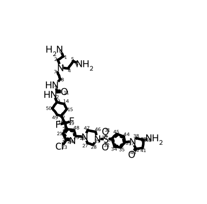 NCCN(CCN)CCNC(=O)NC1CCC(C(F)(F)c2cc(Cl)nc(N3CCN(S(=O)(=O)c4ccc(N5C[C@H](N)CC5=O)cc4)CC3)c2)CC1